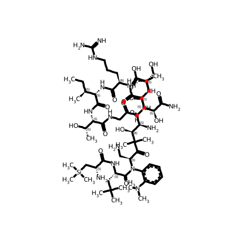 CC[C@H](C)[C@H](NC(=O)[C@@H](CCCNC(=N)N)NC(=O)[C@H](CC(C)C)NC(=O)[C@@H](N)[C@H](O)C(C)(C)C(=O)[C@H](CN)N(C(=O)[C@H](CC(C)(C)C)NC(=O)[C@H](N)C[Si](C)(C)C)c1ccccc1N(C)C)C(=O)N[C@H](C(=O)NCC(=O)N[C@H](C(=O)N[C@@H](CO)C(=O)O)[C@H](O)C(N)=O)[C@H](C)O